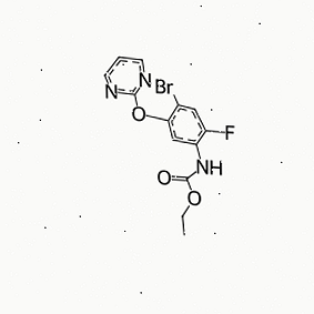 CCOC(=O)Nc1cc(Oc2ncccn2)c(Br)cc1F